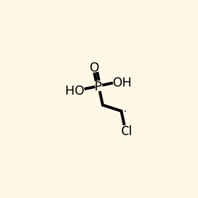 O=P(O)(O)C[CH]Cl